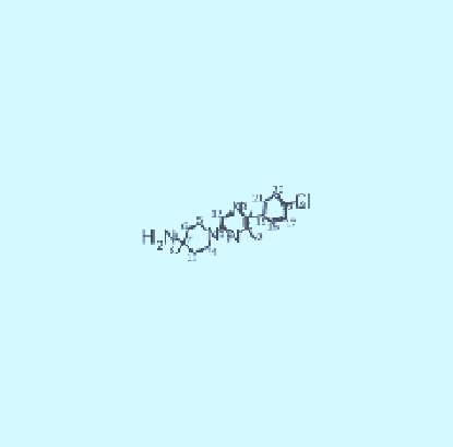 Cc1nc(N2CCC(C)(N)CC2)cnc1-c1ccc(Cl)cc1